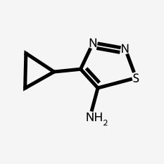 Nc1snnc1C1CC1